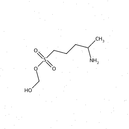 CC(N)CCCS(=O)(=O)OCO